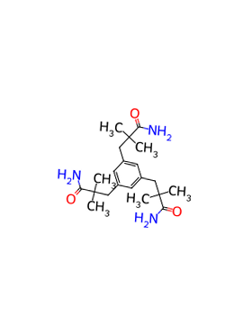 CC(C)(Cc1cc(CC(C)(C)C(N)=O)cc(CC(C)(C)C(N)=O)c1)C(N)=O